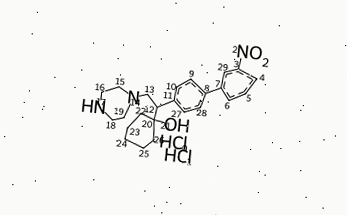 Cl.Cl.O=[N+]([O-])c1cccc(-c2ccc(C(CN3CCNCC3)C3(O)CCCCC3)cc2)c1